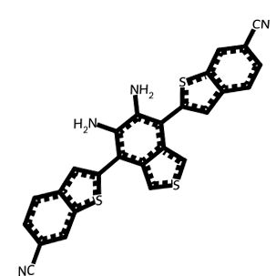 N#Cc1ccc2cc(-c3c(N)c(N)c(-c4cc5ccc(C#N)cc5s4)c4cscc34)sc2c1